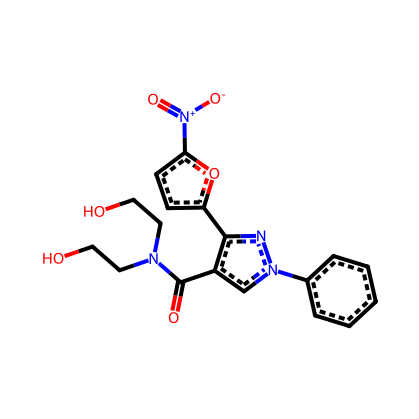 O=C(c1cn(-c2ccccc2)nc1-c1ccc([N+](=O)[O-])o1)N(CCO)CCO